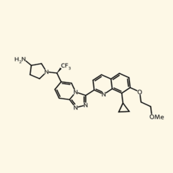 COCCOc1ccc2ccc(-c3nnc4ccc([C@@H](N5CCC(N)C5)C(F)(F)F)cn34)nc2c1C1CC1